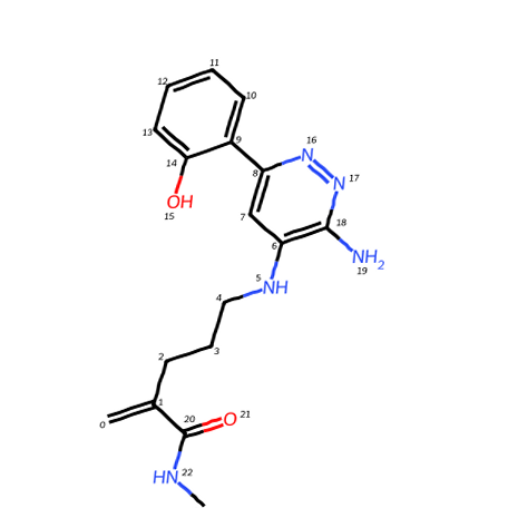 C=C(CCCNc1cc(-c2ccccc2O)nnc1N)C(=O)NC